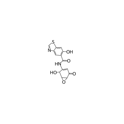 O=C(NC1=CC(=O)C2OC2C1O)c1cc2ncsc2cc1O